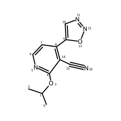 CC(C)Oc1nccc(-c2cnno2)c1C#N